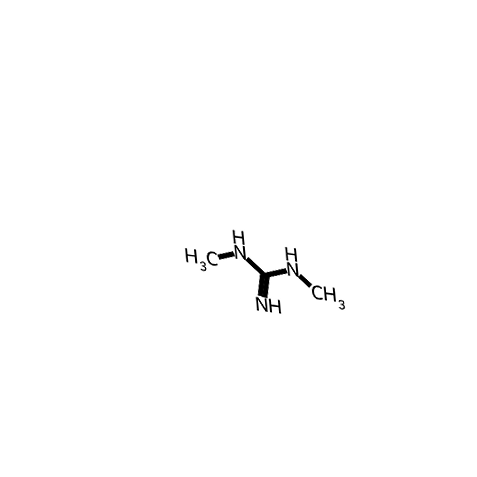 CNC(=N)NC